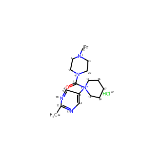 CC(C)N1CCN(C(=O)[N+]2(c3cnc(C(F)(F)F)nc3)CCCCC2)CC1.Cl